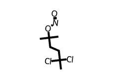 CC(Cl)(Cl)CCC(C)(C)ON=O